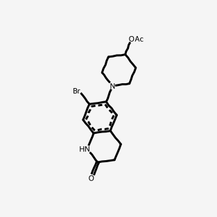 CC(=O)OC1CCN(c2cc3c(cc2Br)NC(=O)CC3)CC1